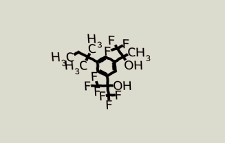 CCC(C)(C)c1cc(C(C)(O)C(F)(F)F)cc(C(O)(C(F)(F)F)C(F)(F)F)c1